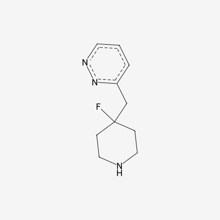 FC1(Cc2cccnn2)CCNCC1